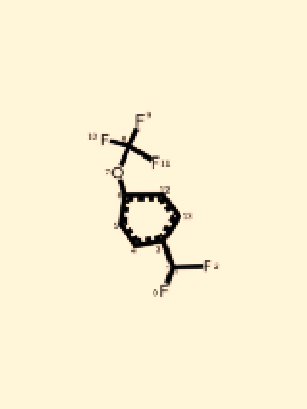 F[C](F)c1ccc(OC(F)(F)F)cc1